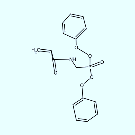 C=CC(=O)NCP(=O)(OOc1ccccc1)OOc1ccccc1